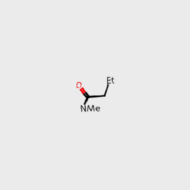 [CH2]CCC(=O)NC